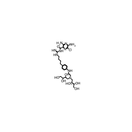 N=C(NCCCCc1ccc(NCCN(C[C@H](O)[C@H](O)CO)C[C@H](O)[C@H](O)CO)cc1)NC(=O)c1nc(Cl)c(N)nc1N